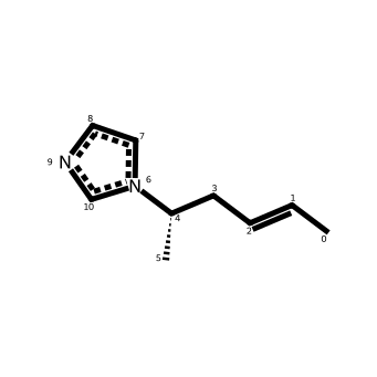 C/C=C/C[C@H](C)n1ccnc1